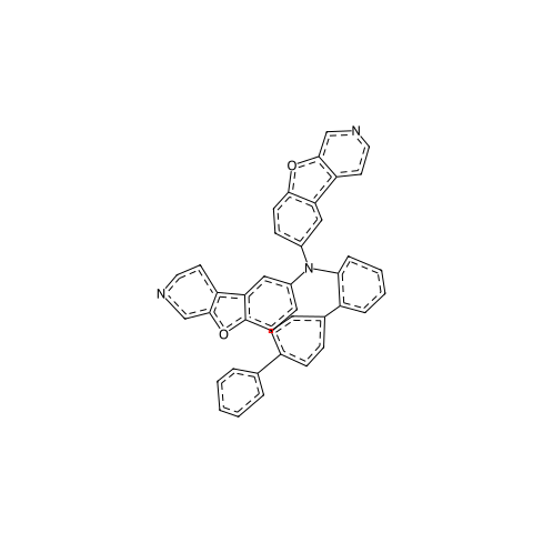 c1ccc(-c2ccc(-c3ccccc3N(c3ccc4oc5cnccc5c4c3)c3ccc4oc5cnccc5c4c3)cc2)cc1